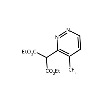 CCOC(=O)C(C(=O)OCC)c1nnccc1C(F)(F)F